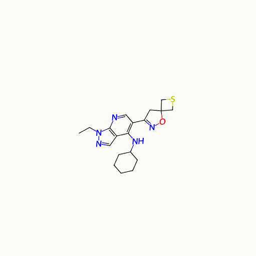 CCn1ncc2c(NC3CCCCC3)c(C3=NOC4(CSC4)C3)cnc21